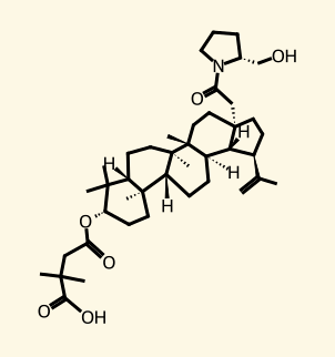 C=C(C)[C@@H]1CC[C@]2(CC(=O)N3CCC[C@@H]3CO)CC[C@]3(C)[C@H](CC[C@@H]4[C@@]5(C)CC[C@H](OC(=O)CC(C)(C)C(=O)O)C(C)(C)[C@@H]5CC[C@]43C)[C@@H]12